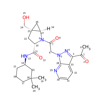 CC(=O)c1nn(CC(=O)N2[C@H](C(=O)N[C@@H]3CCCC(C)(C)C3)C[C@@]3(CO)C[C@@H]23)c2ncccc12